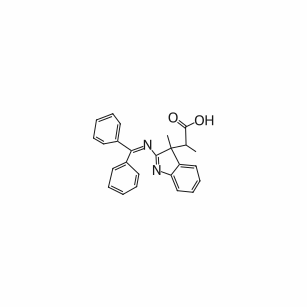 CC(C(=O)O)C1(C)C(N=C(c2ccccc2)c2ccccc2)=Nc2ccccc21